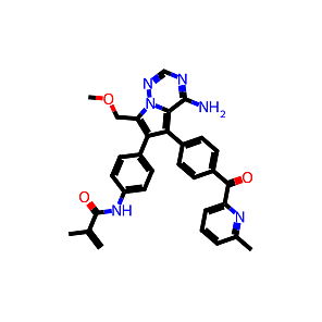 C=C(C)C(=O)Nc1ccc(-c2c(-c3ccc(C(=O)c4cccc(C)n4)cc3)c3c(N)ncnn3c2COC)cc1